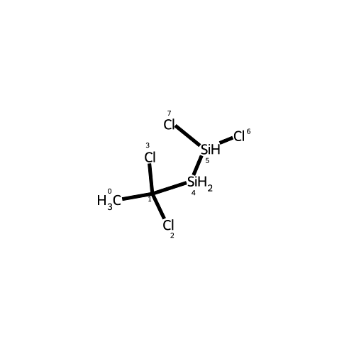 CC(Cl)(Cl)[SiH2][SiH](Cl)Cl